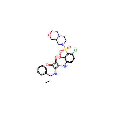 CC[C@@H](Nc1c(Nc2ccc(Cl)c(S(=O)(=O)N3CCN4CCOCC4C3)c2O)c(=O)c1=O)c1ccccc1